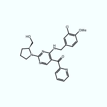 COc1ccc(CNc2nc(N3CCC[C@H]3CO)ncc2C(=O)c2ccccn2)cc1Cl